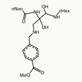 CCCCCCCCCC(=O)NC(O)(CNCc1ccc(C(=O)OC)cc1)C(O)NCCCCCC